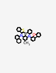 Cc1cc2c3c(c1)N(c1cccc4c1oc1ccccc14)c1ccccc1B3c1sc3ccccc3c1N2c1cccc2c1CCCC2